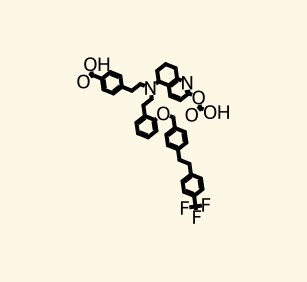 O=C(O)Oc1ccc2c(n1)CCCC2N(CCc1ccc(C(=O)O)cc1)CCc1ccccc1OCc1ccc(CCc2ccc(C(F)(F)F)cc2)cc1